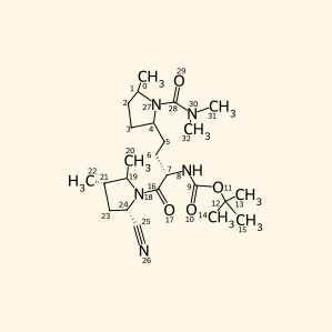 CC1CCC(CC[C@H](NC(=O)OC(C)(C)C)C(=O)N2C(C)[C@@H](C)C[C@H]2C#N)N1C(=O)N(C)C